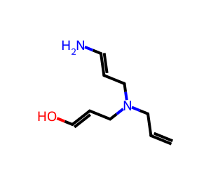 C=CCN(CC=CN)CC=CO